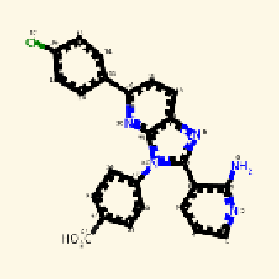 Nc1ncccc1-c1nc2ccc(-c3ccc(Cl)cc3)nc2n1-c1ccc(C(=O)O)cc1